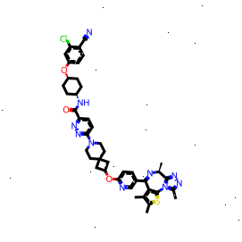 Cc1sc2c(c1C)C(c1ccc(OC3CC4(CCN(c5ccc(C(=O)N[C@H]6CC[C@H](Oc7ccc(C#N)c(Cl)c7)CC6)nn5)CC4)C3)nc1)=N[C@@H](C)c1nnc(C)n1-2